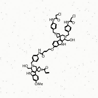 C=CC(=O)N1CC2(C1)CN(Cc1ccc(NC(=O)/C=C/COc3ccc4c5c([nH]c4c3)C(CO)N(Cc3ccc(NC(=O)CCl)cc3)CC53CN(Cc4ccc(NC(=O)CCl)cc4)C3)cc1)C(CO)c1[nH]c3cc(OC)ccc3c12